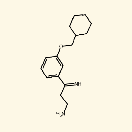 N=C(CCN)c1cccc(OCC2CCCCC2)c1